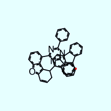 C1=Cc2oc3cccc(-c4nc(-c5ccccc5)nc(-c5ccccc5)n4)c3c2C(c2ccc3c4c(cccc24)-c2ccccc2-3)C1